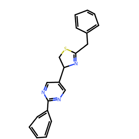 c1ccc(CC2=NC(c3cnc(-c4ccccc4)nc3)CS2)cc1